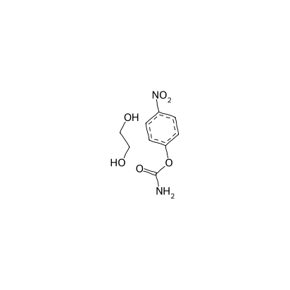 NC(=O)Oc1ccc([N+](=O)[O-])cc1.OCCO